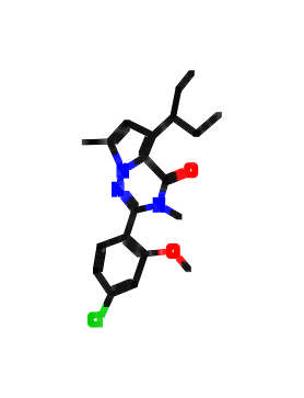 CCC(CC)c1cc(C)n2nc(-c3ccc(Cl)cc3OC)n(C)c(=O)c12